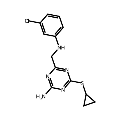 Nc1nc(CNc2cccc(Cl)c2)nc(SC2CC2)n1